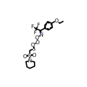 CCOc1ccc(/C(=N/OOOSCS(=O)(=O)N2CCCCC2)C(F)(F)F)cc1